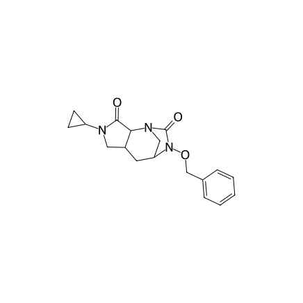 O=C1C2C(CC3CN2C(=O)N3OCc2ccccc2)CN1C1CC1